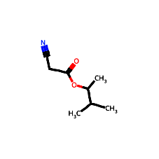 CC(C)C(C)OC(=O)CC#N